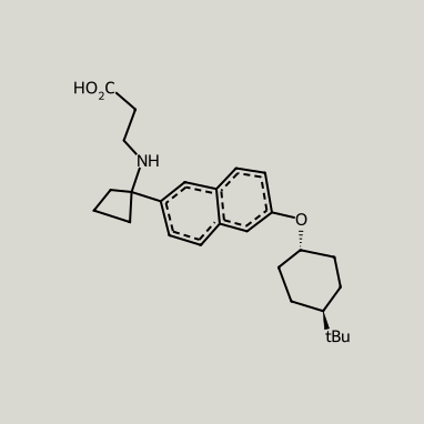 CC(C)(C)[C@H]1CC[C@H](Oc2ccc3cc(C4(NCCC(=O)O)CCC4)ccc3c2)CC1